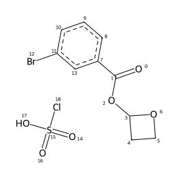 O=C(OC1CCO1)c1cccc(Br)c1.O=S(=O)(O)Cl